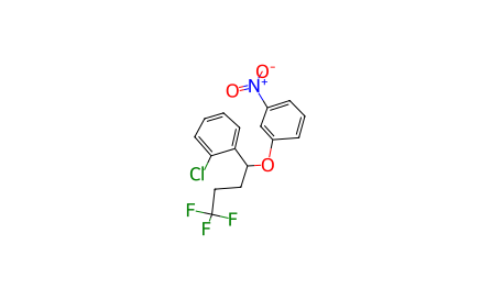 O=[N+]([O-])c1cccc(OC(CCC(F)(F)F)c2ccccc2Cl)c1